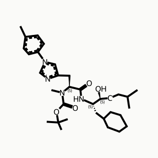 Cc1ccc(-n2cnc(C[C@@H](C(=O)N[C@@H](CC3CCCCC3)[C@@H](O)CCC(C)C)N(C)C(=O)OC(C)(C)C)c2)cc1